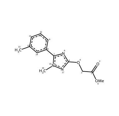 COC(=O)COc1nc(-c2cccc(C)c2)n(C)n1